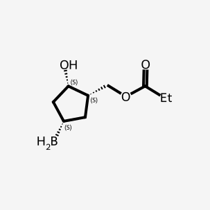 B[C@H]1C[C@@H](COC(=O)CC)[C@@H](O)C1